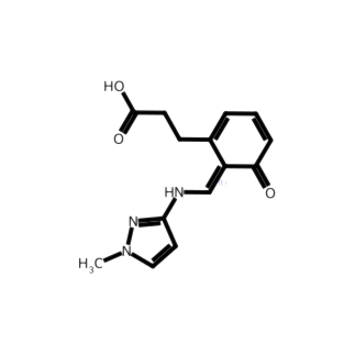 Cn1ccc(N/C=C2/C(=O)C=CC=C2CCC(=O)O)n1